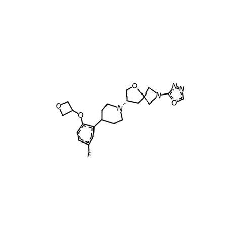 Fc1ccc(OC2COC2)c(C2CCN([C@@H]3COC4(C3)CN(c3nnco3)C4)CC2)c1